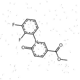 COC(=O)c1ccc(=O)n(-c2cccc(F)c2F)c1